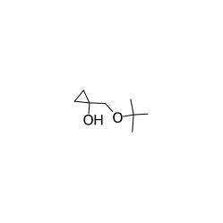 CC(C)(C)OCC1(O)CC1